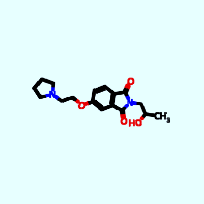 CC(O)CN1C(=O)c2ccc(OCCN3CCCC3)cc2C1=O